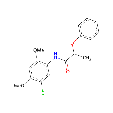 COc1cc(OC)c(NC(=O)C(C)Oc2ccccc2)cc1Cl